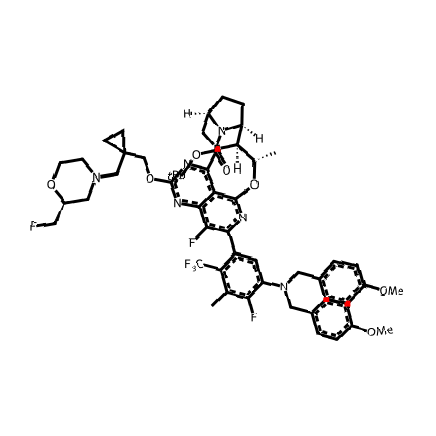 COc1ccc(CN(Cc2ccc(OC)cc2)c2cc(-c3nc4c5c(nc(OCC6(CN7CCO[C@H](CF)C7)CC6)nc5c3F)N3C[C@H]5CC[C@@H]([C@H]3[C@H](C)O4)N5C(=O)OC(C)(C)C)c(C(F)(F)F)c(C)c2F)cc1